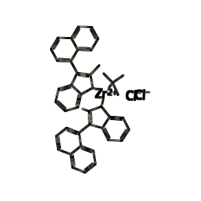 CC1=C(c2cccc3ccccc23)c2ccccc2[CH]1[Zr+2]1([CH]2C(C)=C(c3cccc4ccccc34)c3ccccc32)[CH2][C]1(C)C.[Cl-].[Cl-]